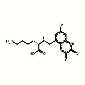 NCCCC[C@H](NCc1cc(Br)cc2[nH]c(=O)c(=O)[nH]c12)C(=O)O